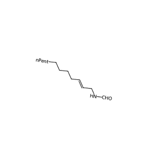 CCCCCCCCCC=CCNC=O